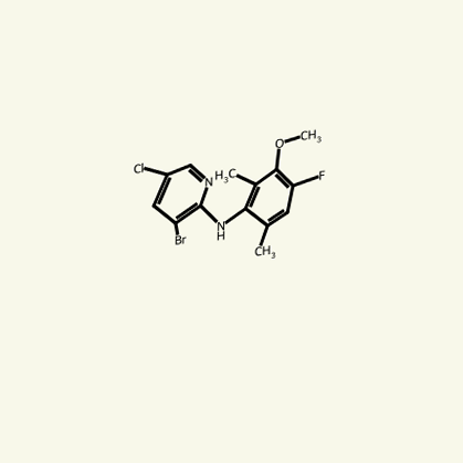 COc1c(F)cc(C)c(Nc2ncc(Cl)cc2Br)c1C